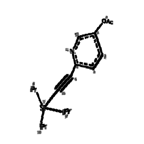 CC(=O)Oc1ccc(C#C[Si](C(C)C)(C(C)C)C(C)C)nc1